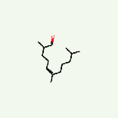 CC(=CCCC(C)C=O)CCCC(C)C